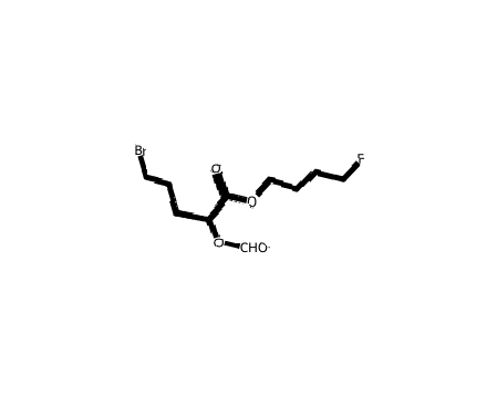 O=[C]OC(CCCBr)C(=O)OCCCCF